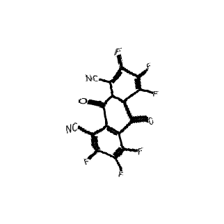 N#CC1=C(F)C(F)=C(F)C2C(=O)c3c(F)c(F)c(F)c(C#N)c3C(=O)C12